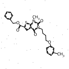 Cc1cccc(OCCCCn2c(=O)c3cc(C(=O)OCc4ccccc4)sc3n(C)c2=O)c1